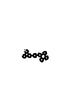 c1ccc2c(c1)-c1ccccc1-c1ccc(-c3ccc(-c4ccc5c6ccccc6c6cnccc6c5c4)cc3)cc1-c1ccccc1-2